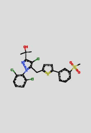 CC(C)(O)c1nn(-c2c(Cl)cccc2Cl)c(Cc2ccc(-c3cccc(S(C)(=O)=O)c3)s2)c1Cl